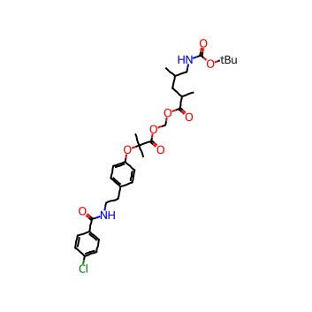 CC(CNC(=O)OC(C)(C)C)CC(C)C(=O)OCOC(=O)C(C)(C)Oc1ccc(CCNC(=O)c2ccc(Cl)cc2)cc1